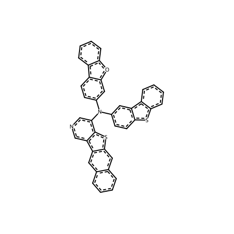 c1ccc2cc3c(cc2c1)sc1c(N(c2ccc4c(c2)oc2ccccc24)c2ccc4sc5ccccc5c4c2)cncc13